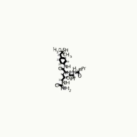 CCCC(=O)N[C@H](C(=O)N[C@@H](CCCNC(N)=O)C(=O)Nc1ccc(CC(C)(C)S)cc1)C(C)C